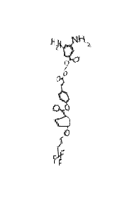 Nc1cc(N)cc(C(=O)OCCOC(=O)C=Cc2ccc(OC(=O)C3CCC(OCCCC(F)(F)F)CC3)cc2)c1